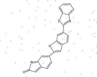 O=C1C=c2ccc(-c3cc4ccc(-c5nc6ccccc6o5)cc4o3)cc2=N1